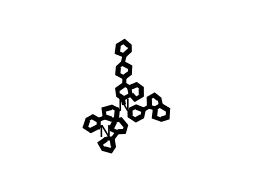 c1ccc(-c2ccc(-c3ccc(N(c4ccc(-c5ccccc5-n5c6ccccc6c6ccccc65)cc4)c4cccc(-c5cccc6ccccc56)c4)c4ccccc34)cc2)cc1